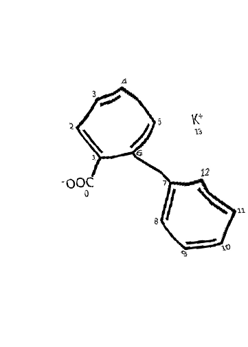 O=C([O-])c1ccccc1-c1ccccc1.[K+]